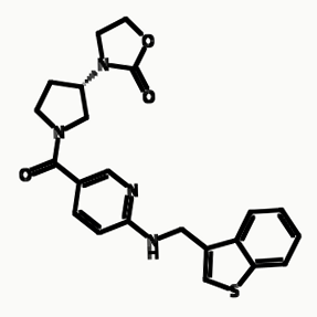 O=C(c1ccc(NCc2csc3ccccc23)nc1)N1CC[C@H](N2CCOC2=O)C1